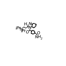 CC(CCN(C(C)C)C(C)C)N(C(=O)c1ccc(C(N)=O)cc1)c1ccccc1N